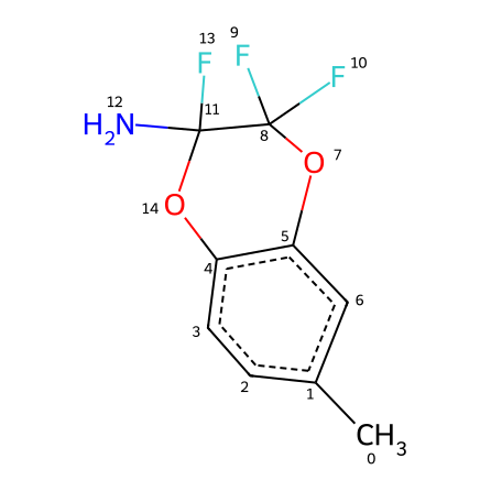 Cc1ccc2c(c1)OC(F)(F)C(N)(F)O2